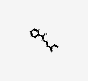 C=CC(=C)C=CN=C(S)c1ccccc1